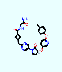 Cc1ccc(Oc2ccc(O[C@@H]3CCN(c4cnc(CC5CC(C(=O)NCC(N)=O)C5)nc4)C3=O)cn2)cc1